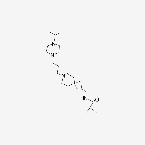 CC(C)C(=O)NCC1CC2(CCN(CCCN3CCN(C(C)C)CC3)CC2)C1